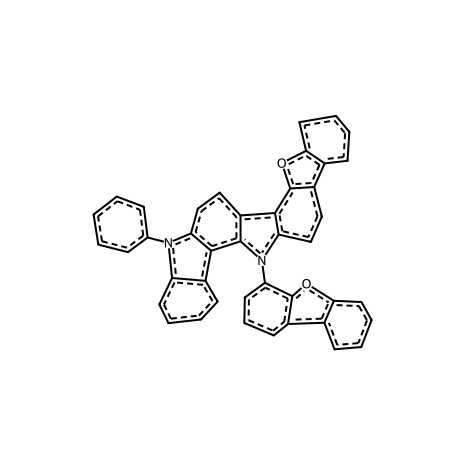 c1ccc(-n2c3ccccc3c3c2ccc2c4c5oc6ccccc6c5ccc4n(-c4cccc5c4oc4ccccc45)c23)cc1